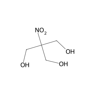 O=[N+]([O-])C(CO)(CO)CO